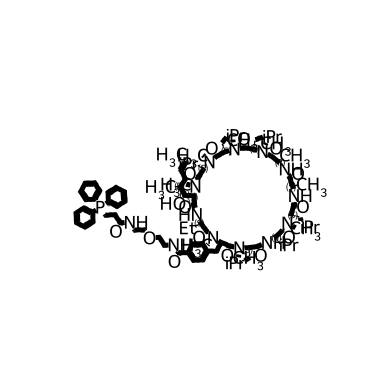 CC=CC[C@@H](C)[C@@H](O)[C@H]1C(=O)N[C@@H](CC)C(=O)N(C)C(Cc2ccc(C(=O)NCCOCCNC(=O)CC[P+](c3ccccc3)(c3ccccc3)c3ccccc3)cc2)C(=O)N(C)[C@@H](CC(C)C)C(=O)N[C@@H](C(C)C)C(=O)N(C)[C@@H](CC(C)C)C(=O)N[C@@H](C)C(=O)N[C@H](C)C(=O)N(C)[C@@H](CC(C)C)C(=O)N(C)[C@@H](CC(C)C)C(=O)N(C)[C@@H](C(C)C)C(=O)N1C